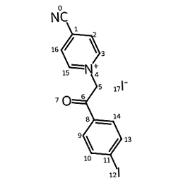 N#Cc1cc[n+](CC(=O)c2ccc(I)cc2)cc1.[I-]